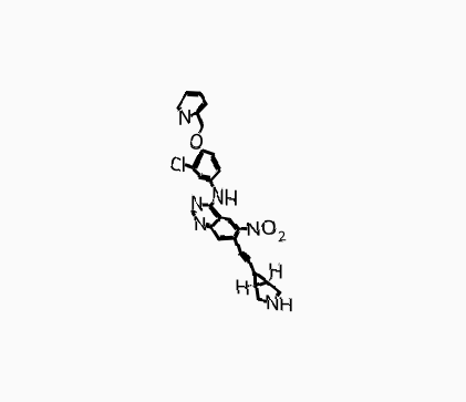 O=[N+]([O-])c1cc2c(Nc3ccc(OCc4ccccn4)c(Cl)c3)ncnc2cc1C#CC1[C@H]2CNC[C@@H]12